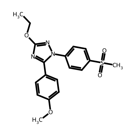 CCOc1nc(-c2ccc(OC)cc2)n(-c2ccc(S(C)(=O)=O)cc2)n1